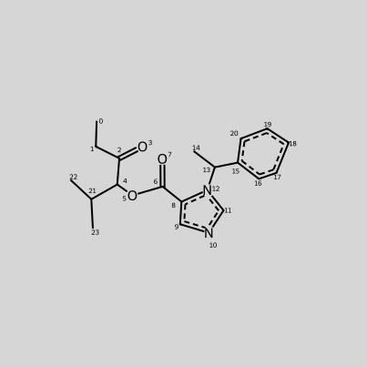 CCC(=O)C(OC(=O)c1cncn1C(C)c1ccccc1)C(C)C